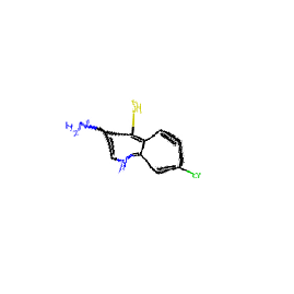 Nc1cnc2cc(Cl)ccc2c1S